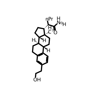 [3H]NC(=O)C(CCC)[C@H]1CC[C@H]2[C@@H]3CCc4cc(CCO)ccc4[C@H]3CC[C@]12C